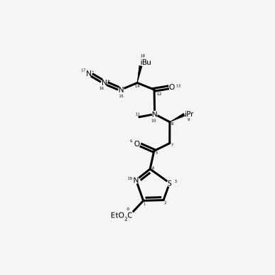 CCOC(=O)c1csc(C(=O)C[C@H](C(C)C)N(C)C(=O)[C@@H](N=[N+]=[N-])C(C)CC)n1